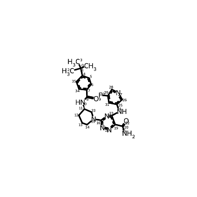 CC(C)(C)c1ccc(C(=O)N[C@@H]2CCCN(c3nnc(C(N)=O)c(Nc4cncc(F)c4)n3)C2)cc1